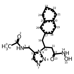 CC(=O)NCc1cnnn1C(CC(=O)NO)Cc1ccc2ccccc2c1